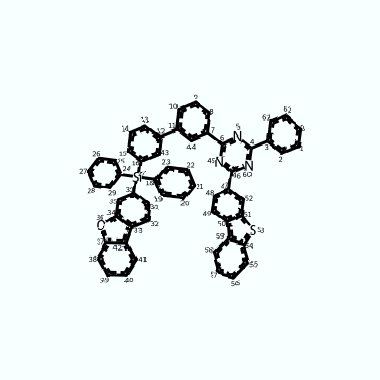 c1ccc(-c2nc(-c3cccc(-c4cccc([Si](c5ccccc5)(c5ccccc5)c5ccc6c(c5)oc5ccccc56)c4)c3)nc(-c3ccc4c(c3)sc3ccccc34)n2)cc1